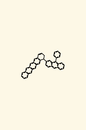 C1=Cc2cc3cc4cc5ccccc5cc4cc3cc2C(c2ccc3cc4ccccc4c(-c4ccccc4)c3c2)C1